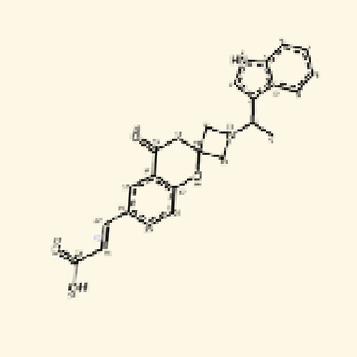 CC(c1c[nH]c2ccccc12)N1CC2(CC(=O)c3cc(/C=C/C(=O)O)ccc3O2)C1